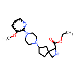 CCOC(=O)C1NCC12CC[C@@H](N1CCN(c3ncccc3OC)CC1)C2